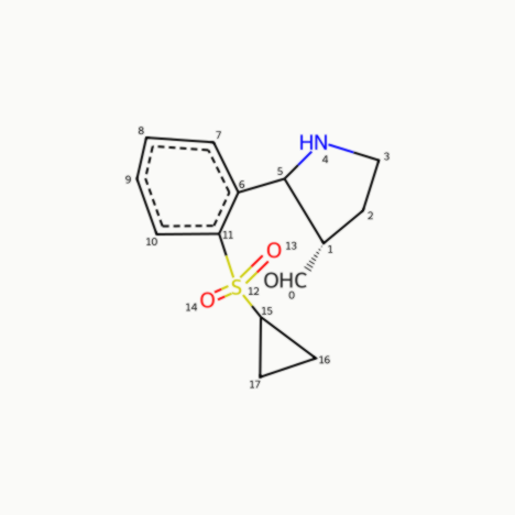 O=C[C@H]1CCNC1c1ccccc1S(=O)(=O)C1CC1